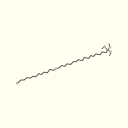 CO[Si](CCCCCCCCCCCCCCCCCCCCCCCCCCCCCCCl)(OC)OC